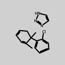 CC1=CC=CCC1(C)c1ccccc1Cl.c1c[nH]nn1